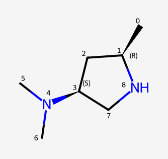 C[C@@H]1C[C@H](N(C)C)CN1